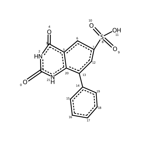 O=c1[nH]c(=O)c2cc(S(=O)(=O)O)cc(-c3ccccc3)c2[nH]1